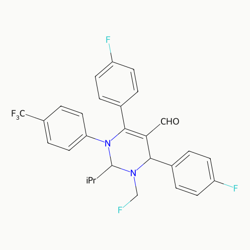 CC(C)C1N(c2ccc(C(F)(F)F)cc2)C(c2ccc(F)cc2)=C(C=O)C(c2ccc(F)cc2)N1CF